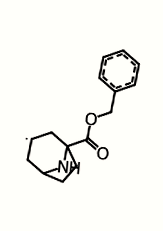 O=C(OCc1ccccc1)C12C[CH]CC(CC1)N2